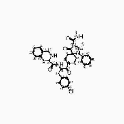 CNC(=O)N1C(=O)C2(CCN(C(=O)[C@@H](Cc3ccc(Cl)cc3)NC(=O)C3Cc4ccccc4CN3)CC2)N(c2ccccc2)[C@H]1C